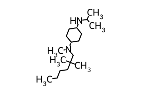 CCCCC(C)(C)CN(C)[C@H]1CC[C@@H](NC(C)C)CC1